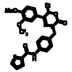 CCC1OC(=O)N(Cc2ccc(NC(=O)c3cccs3)cc2)N=C1c1ccc(OC)c(OC(F)(F)F)c1